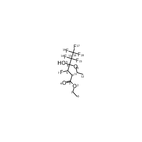 CCOC(=O)CC(F)C(O)(OCC)C(F)(F)C(F)(F)F